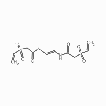 C=CS(=O)(=O)CC(=O)NC=CNC(=O)CS(=O)(=O)C=C